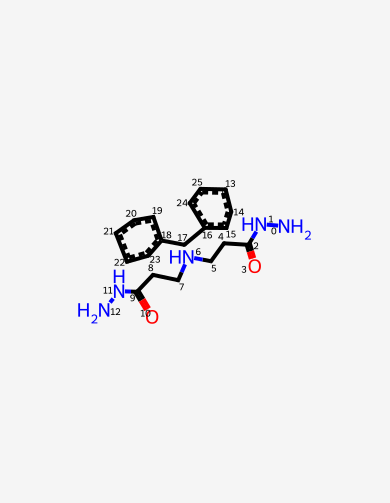 NNC(=O)CCNCCC(=O)NN.c1ccc(Cc2ccccc2)cc1